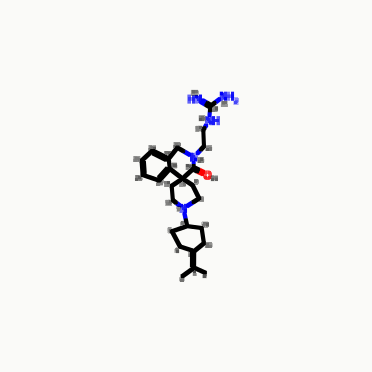 CC(C)=C1CCC(N2CCC3(CC2)C(=O)N(CCNC(=N)N)Cc2ccccc23)CC1